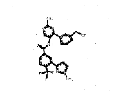 Cc1ncc(NC(=O)c2ccc(C(F)(F)F)c(-c3ccn(C)n3)c2)c(-c2cccc(CO)c2)n1